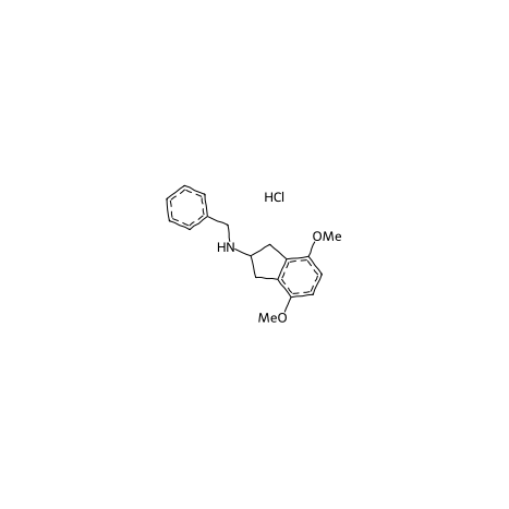 COc1ccc(OC)c2c1CC(NCc1ccccc1)C2.Cl